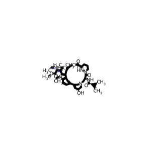 C=C/C(=C(\N=C/C)[C@H](C)OC)c1c2c3cc(ccc3n1CC)C1=C[C@@H](O)CN(C1)C[C@H](NC(=O)[C@H]1[C@H](C)[C@@H]1C)C(=O)N1CCC[C@H](N1)C(=O)OCC(C)(C)C2